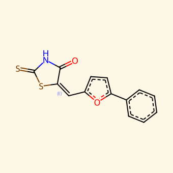 O=C1NC(=S)S/C1=C/c1ccc(-c2ccccc2)o1